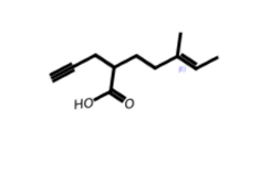 C#CCC(CC/C(C)=C/C)C(=O)O